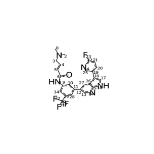 CN(C)CC=CC(=O)Nc1cc(-c2cnc3[nH]cc(-c4ccc(F)nc4)c3c2)cc(C(F)(F)F)c1